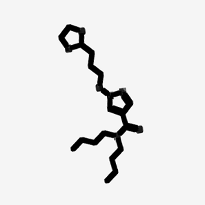 CCCCN(CCCC)C(=O)c1cnn(OCCCC2OCCO2)c1